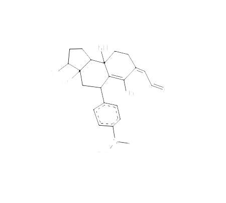 C=C/C=C1/CCC2(N)C(=C1CCC)C(c1ccc(N(C)C)cc1)CC1(C)C(C(C)=O)CCC21